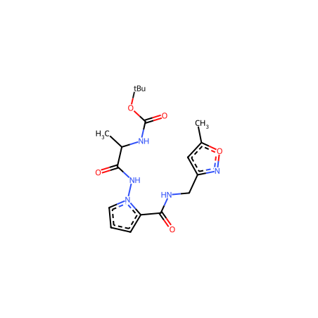 Cc1cc(CNC(=O)c2cccn2NC(=O)C(C)NC(=O)OC(C)(C)C)no1